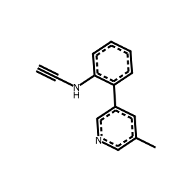 C#CNc1ccccc1-c1cncc(C)c1